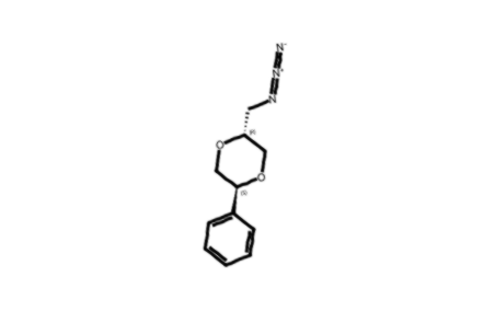 [N-]=[N+]=NC[C@@H]1CO[C@@H](c2ccccc2)CO1